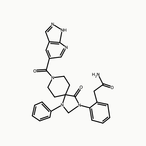 NC(=O)Cc1ccccc1N1CN(c2ccccc2)C2(CCN(C(=O)c3cnc4[nH]ncc4c3)CC2)C1=O